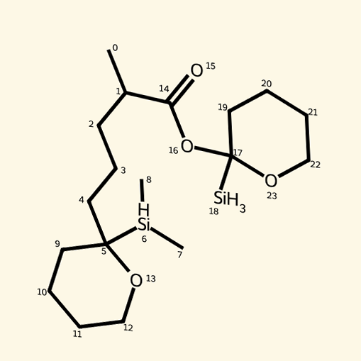 CC(CCCC1([SiH](C)C)CCCCO1)C(=O)OC1([SiH3])CCCCO1